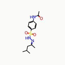 CC(=O)Nc1ccc(S(=O)(=O)NN=C(C)CC(C)C)cc1